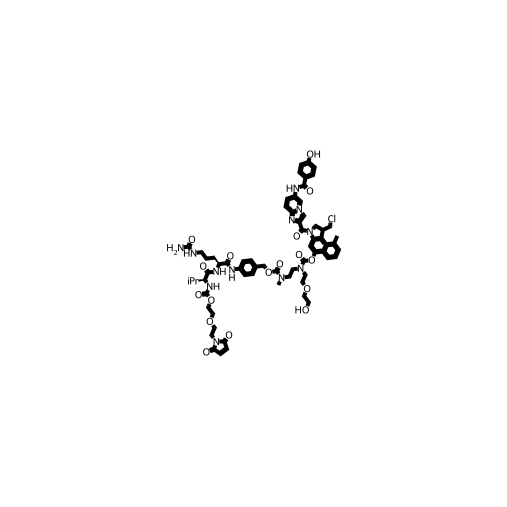 Cc1cccc2c(OC(=O)N(CCOCCO)CCN(C)C(=O)OCc3ccc(NC(=O)[C@H](CCCNC(N)=O)NC(=O)[C@@H](NC(=O)OCCOCCN4C(=O)C=CC4=O)C(C)C)cc3)cc3c(c12)C(CCl)CN3C(=O)c1cn2cc(NC(=O)c3ccc(O)cc3)ccc2n1